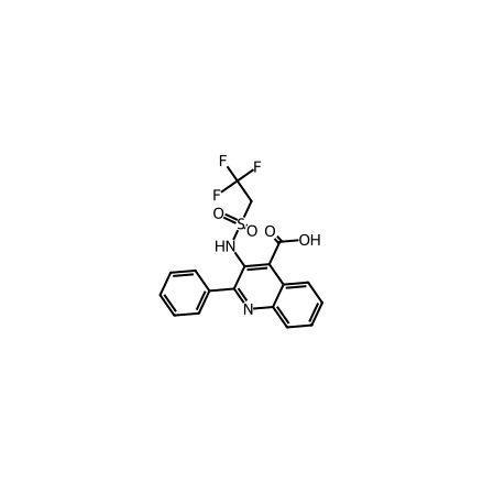 O=C(O)c1c(NS(=O)(=O)CC(F)(F)F)c(-c2ccccc2)nc2ccccc12